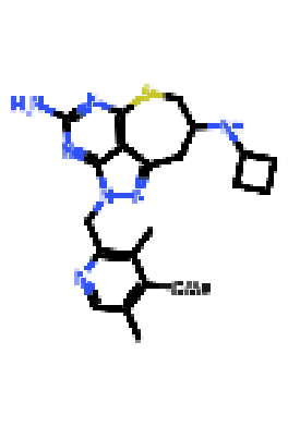 COc1c(C)cnc(Cn2nc3c4c(nc(N)nc42)SCC(NC2CCC2)C3)c1C